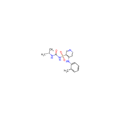 Cc1ccccc1Nc1ccncc1S(=O)(=O)NC(=O)NC(C)C